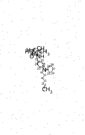 CCCCCCCN(c1ccc(CNN(C(=O)O)C(C)(C)C)cc1)C1CCCCC1